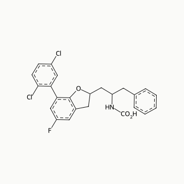 O=C(O)NC(Cc1ccccc1)CC1Cc2cc(F)cc(-c3cc(Cl)ccc3Cl)c2O1